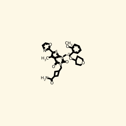 COc1ccccc1[C@@H](Cn1c(=O)n(CC2CC(C(N)=O)C2)c(=O)c2c(C)c(-c3ncco3)sc21)OC1CCOCC1